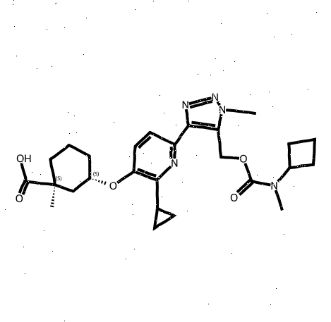 CN(C(=O)OCc1c(-c2ccc(O[C@H]3CCC[C@](C)(C(=O)O)C3)c(C3CC3)n2)nnn1C)C1CCC1